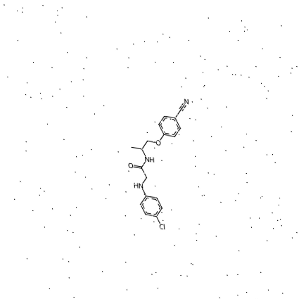 CC(COc1ccc(C#N)cc1)NC(=O)CNc1ccc(Cl)cc1